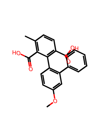 COc1ccc(-c2c(C(=O)O)ccc(C)c2C(=O)O)c(-c2ccccc2)c1